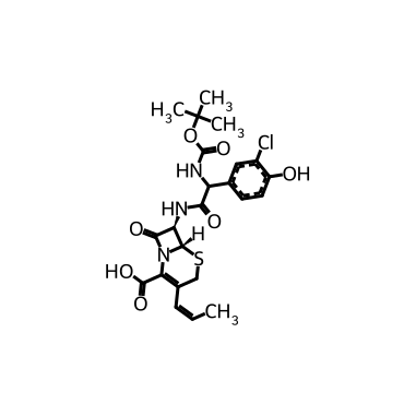 C/C=C\C1=C(C(=O)O)N2C(=O)[C@@H](NC(=O)C(NC(=O)OC(C)(C)C)c3ccc(O)c(Cl)c3)[C@@H]2SC1